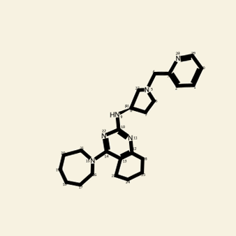 c1ccc(CN2CC[C@@H](Nc3nc4c(c(N5CCCCCC5)n3)CCCC4)C2)nc1